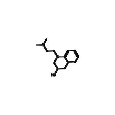 CN(C)CCN1CC(O)Cc2ccccc21